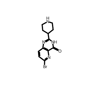 O=c1[nH]c(C2CCNCC2)nc2ccc(Br)nc12